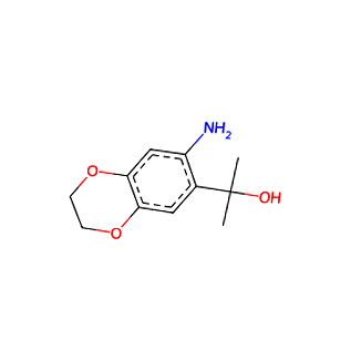 CC(C)(O)c1cc2c(cc1N)OCCO2